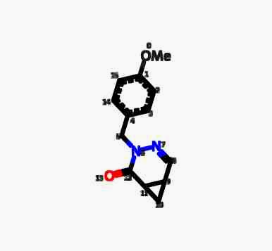 COc1ccc(CN2N=[C]C3CC3C2=O)cc1